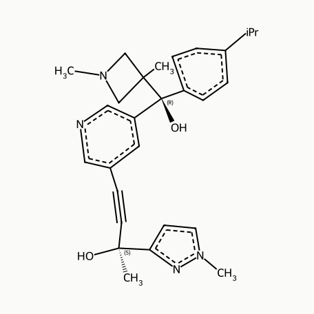 CC(C)c1ccc([C@](O)(c2cncc(C#C[C@](C)(O)c3ccn(C)n3)c2)C2(C)CN(C)C2)cc1